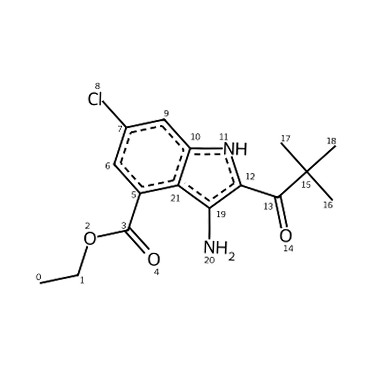 CCOC(=O)c1cc(Cl)cc2[nH]c(C(=O)C(C)(C)C)c(N)c12